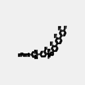 CCCCCc1cnc(-c2ccc(C(F)(F)Oc3ccc(-c4ccc(-c5ccc(F)c(F)c5)c(F)c4)c(F)c3)c(F)c2)nc1